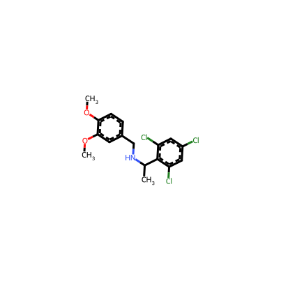 COc1ccc(CNC(C)c2c(Cl)cc(Cl)cc2Cl)cc1OC